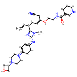 C=C[C@@H](C/C=C(\CC#N)OCCNC(=O)C1=CNCCC1)C1=N[C@@H](NC2=CC=C(N3CCN(C4COC4)CC3)CC2)N1C